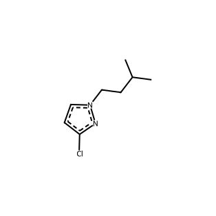 CC(C)CCn1ccc(Cl)n1